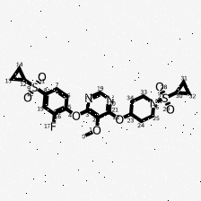 COc1c(Oc2ccc(S(=O)(=O)C3CC3)cc2F)ncnc1OC1CCN(S(=O)(=O)C2CC2)CC1